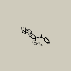 COCC1(CC[C@@H]2C[C@H]2c2ccccc2)CCN(C2(C(=O)O)CCC2)CC1